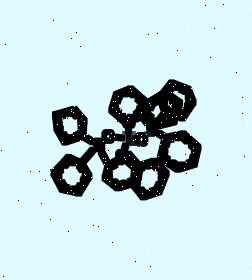 c1ccc([O][Ti]([O]c2ccccc2)([O][Si](c2ccccc2)(c2ccccc2)c2ccccc2)[O][Si](c2ccccc2)(c2ccccc2)c2ccccc2)cc1